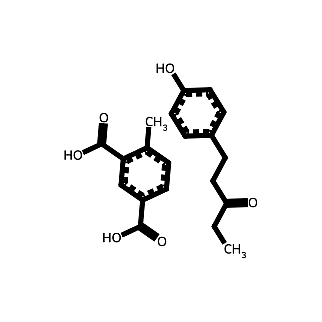 CCC(=O)CCc1ccc(O)cc1.Cc1ccc(C(=O)O)cc1C(=O)O